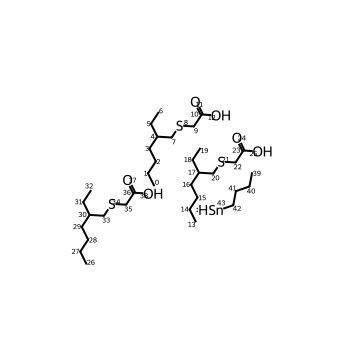 CCCCC(CC)CSCC(=O)O.CCCCC(CC)CSCC(=O)O.CCCCC(CC)CSCC(=O)O.CCC[CH2][SnH]